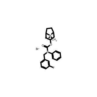 C[N+]1(C)C2CCC1CC(OC(=O)N(Cc1cccc(F)c1)c1ccccc1)C2.[Br-]